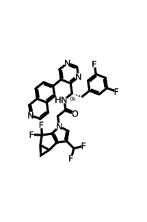 O=C(Cn1cc(C(F)F)c2c1C(F)(F)C1CC21)N[C@@H](Cc1cc(F)cc(F)c1)c1ncncc1-c1ccc2cnccc2c1